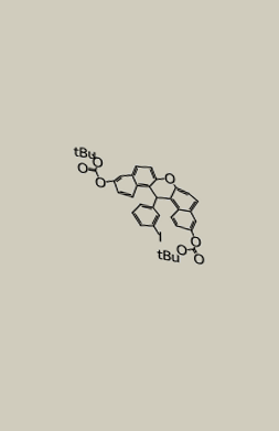 CC(C)(C)OC(=O)Oc1ccc2c3c(ccc2c1)Oc1ccc2cc(OC(=O)OC(C)(C)C)ccc2c1C3c1cccc(I)c1